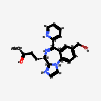 COC(=O)CC[C@@H]1N=C(c2ccccn2)c2cc(CBr)ccc2-n2ccnc21